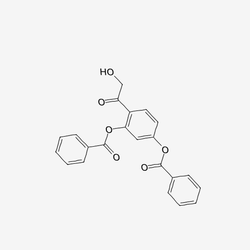 O=C(Oc1ccc(C(=O)CO)c(OC(=O)c2ccccc2)c1)c1ccccc1